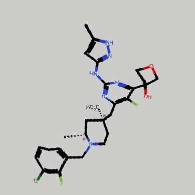 Cc1cc(Nc2nc(C[C@@]3(C(=O)O)CCN(Cc4cccc(Cl)c4F)[C@H](C)C3)c(F)c(C3(O)COC3)n2)n[nH]1